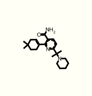 CC1(C)CC=C(c2nc(C(C)(C)N3CCCCC3)ccc2C(N)=O)CC1